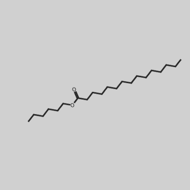 CCCCCCCCCCCCCCC(=O)OCCCCCC